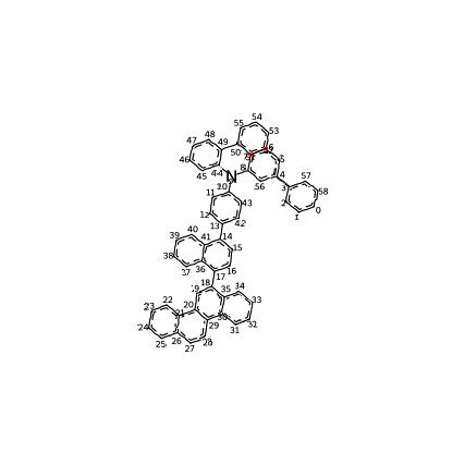 c1ccc(-c2cccc(N(c3ccc(-c4ccc(-c5cc6c7ccccc7ccc6c6ccccc56)c5ccccc45)cc3)c3ccccc3-c3ccccc3)c2)cc1